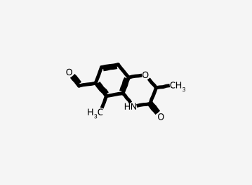 Cc1c(C=O)ccc2c1NC(=O)C(C)O2